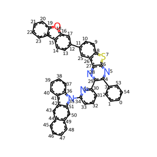 c1ccc(-c2nc3sc4ccc(-c5ccc6c(c5)oc5ccccc56)cc4c3nc2-c2cccc(-n3c4ccccc4c4cc5ccccc5cc43)n2)cc1